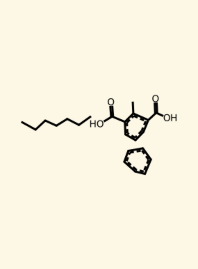 CCCCCCC.Cc1c(C(=O)O)cccc1C(=O)O.c1ccccc1